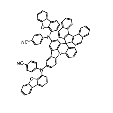 N#Cc1ccc(N(c2ccc3c(c2)c2cc(N(c4ccc(C#N)cc4)c4cccc5c4oc4ccccc45)cc4c2n3-c2ccccc2C42c3ccc4ccccc4c3-c3c2ccc2ccccc32)c2cccc3c2oc2ccccc23)cc1